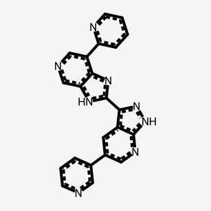 c1ccc(-c2cncc3[nH]c(-c4n[nH]c5ncc(-c6cccnc6)cc45)nc23)nc1